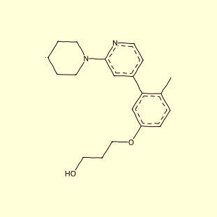 Cc1ccc(OCCCO)cc1-c1ccnc(N2CC[CH]CC2)c1